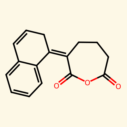 O=C1CCCC(=C2CC=Cc3ccccc32)C(=O)O1